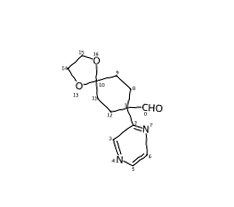 O=CC1(c2cnccn2)CCC2(CC1)OCCO2